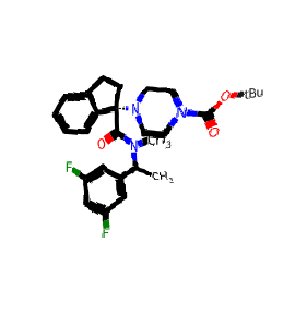 CC(c1cc(F)cc(F)c1)N(C)C(=O)[C@]1(N2CCN(C(=O)OC(C)(C)C)CC2)CCc2ccccc21